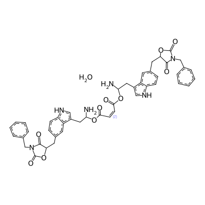 NC(Cc1c[nH]c2ccc(CC3OC(=O)N(Cc4ccccc4)C3=O)cc12)OC(=O)/C=C\C(=O)OC(N)Cc1c[nH]c2ccc(CC3OC(=O)N(Cc4ccccc4)C3=O)cc12.O